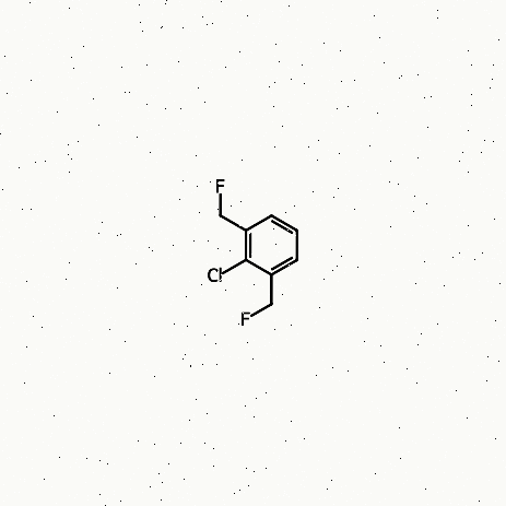 FCc1cccc(CF)c1Cl